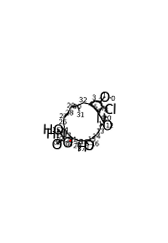 COc1cc2cc(c1Cl)N(C)C(=O)CC[C@@]1(C)O[C@H]1[C@H](C)[C@]1(C)C[C@](O)(C/C=C/C=C(\C)C2)NC(=O)O1